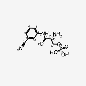 N#Cc1cccc(NC(=O)[C@H](N)COP(=O)(O)O)c1